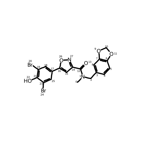 CN(Cc1ccc2c(c1)OCO2)C(=O)c1cc(-c2cc(Br)c(O)c(Br)c2)on1